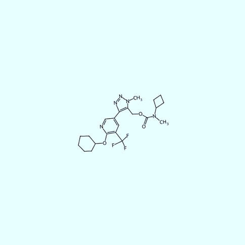 CN(C(=O)OCc1c(-c2cnc(OC3CCCCC3)c(C(F)(F)F)c2)nnn1C)C1CCC1